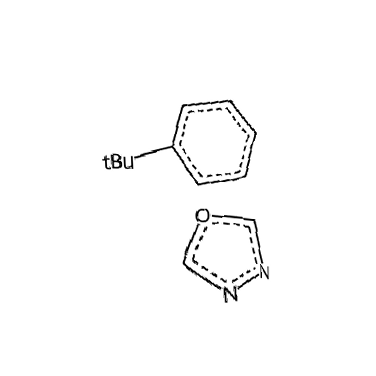 CC(C)(C)c1ccccc1.c1nnco1